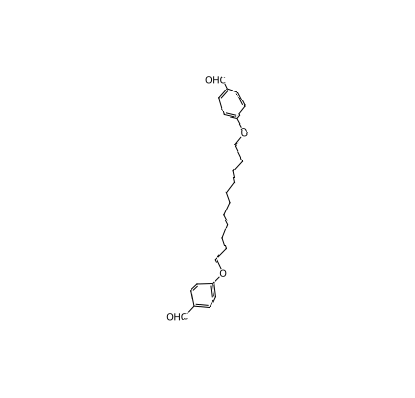 O=Cc1ccc(OCCCCCCCCCCCOc2ccc(C=O)cc2)cc1